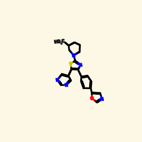 O=C(O)C1CCCN(c2nc(-c3ccc(-c4cnco4)cc3)c(-c3cncnc3)s2)C1